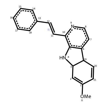 COC1=CC2Nc3c(ccnc3/C=C/c3ccccc3)C2C=C1